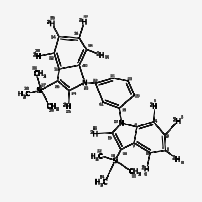 [2H]c1c([2H])c([2H])c2c(c1[2H])c([Si](C)(C)C)c([2H])n2-c1cccc(-n2c([2H])c([Si](C)(C)C)c3c([2H])c([2H])c([2H])c([2H])c32)c1